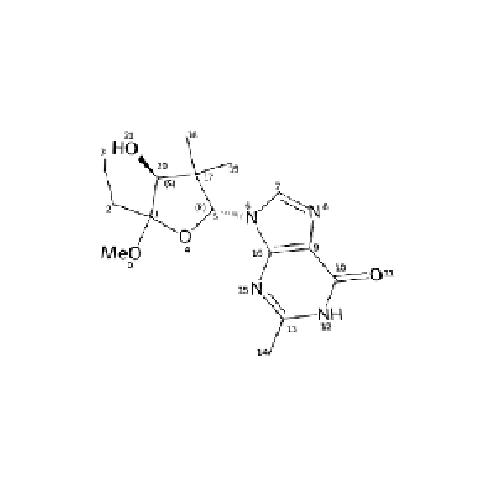 COC1(CI)O[C@@H](n2cnc3c(=O)[nH]c(C)nc32)C(C)(C)[C@@H]1O